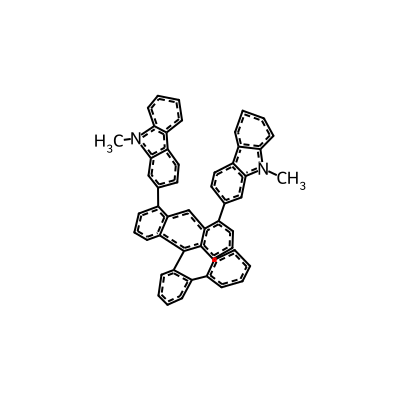 Cn1c2ccccc2c2ccc(-c3cccc4c(-c5ccccc5-c5ccccc5)c5cccc(-c6ccc7c8ccccc8n(C)c7c6)c5cc34)cc21